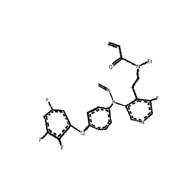 C=CC(=O)N(CC)CCc1c(F)cncc1N(N=C)c1ccc(Oc2cc(F)cc(F)c2F)cc1